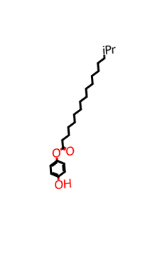 CC(C)CCCCCCCCCCCCCCC(=O)Oc1ccc(O)cc1